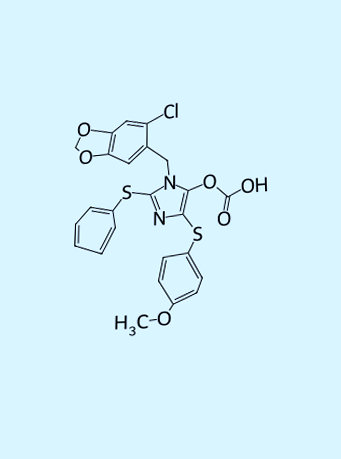 COc1ccc(Sc2nc(Sc3ccccc3)n(Cc3cc4c(cc3Cl)OCO4)c2OC(=O)O)cc1